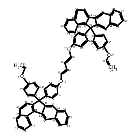 C=COc1ccc(C2(c3ccc(O/C=C/C=C/Oc4ccc(C5(c6ccc(OC=C)cc6)c6cc7ccccc7cc6-c6ccc7ccccc7c65)cc4)cc3)c3cc4ccccc4cc3-c3c2ccc2ccccc32)cc1